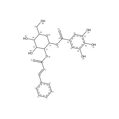 O=C(C=Cc1ccccc1)OC1C(OC(=O)c2cc(O)c(O)c(O)c2)OC(CO)C(O)C1O